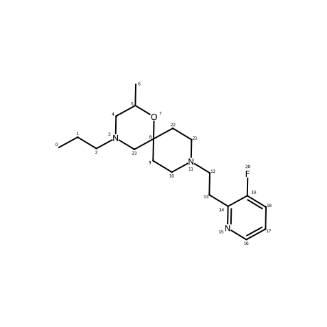 CCCN1CC(C)OC2(CCN(CCc3ncccc3F)CC2)C1